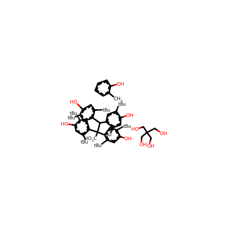 CC(C)(C)c1cc(C(c2cc(C(C)(C)C)c(O)cc2C(C)(C)C)C(C(=O)O)(c2cc(C(C)(C)C)c(O)cc2C(C)(C)C)c2cc(C(C)(C)C)c(O)cc2C(C)(C)C)c(C(C)(C)C)cc1O.Cc1ccccc1O.OCC(CO)(CO)CO